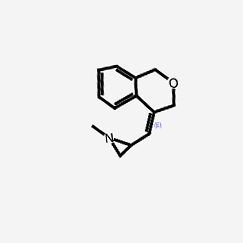 CN1CC1/C=C1/COCc2ccccc21